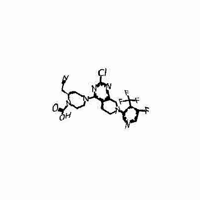 N#CC[C@H]1CN(c2nc(Cl)nc3c2CCN(c2cncc(F)c2C(F)(F)F)C3)CCN1C(=O)O